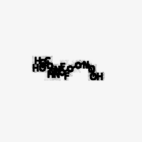 Cc1ccc(Oc2nc3c(F)c(-c4ccc(-c5ccc(CN6CC(OCCO)C6)cc5)cc4)c(F)cc3[nH]2)cc1C(=O)O